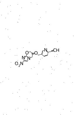 C#Cc1ccc(CO[C@@H]2COc3nc([N+](=O)[O-])cn3C2)cn1